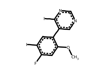 COc1cc(F)c(I)cc1-c1cncnc1I